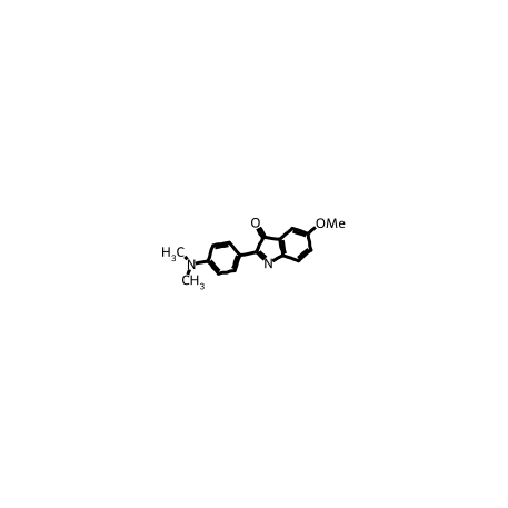 COc1ccc2c(c1)C(=O)C(c1ccc(N(C)C)cc1)=N2